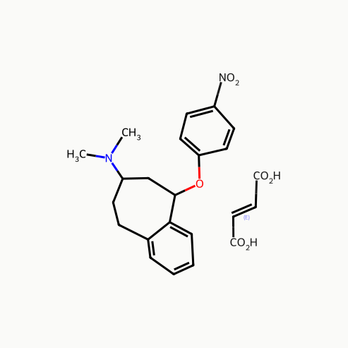 CN(C)C1CCc2ccccc2C(Oc2ccc([N+](=O)[O-])cc2)C1.O=C(O)/C=C/C(=O)O